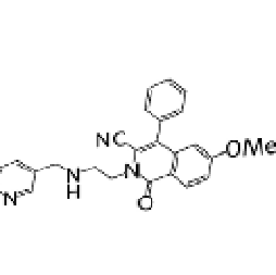 COc1ccc2c(=O)n(CCNCc3cccnc3)c(C#N)c(-c3ccccc3)c2c1